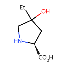 CCC1(O)CN[C@H](C(=O)O)C1